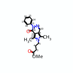 COC(=O)CCCn1c(C)c2cnn(-c3ccccc3)c(=O)c2c1C